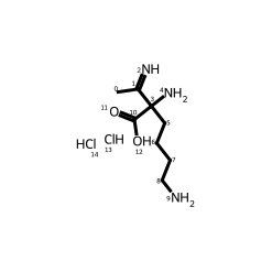 CC(=N)C(N)(CCCCN)C(=O)O.Cl.Cl